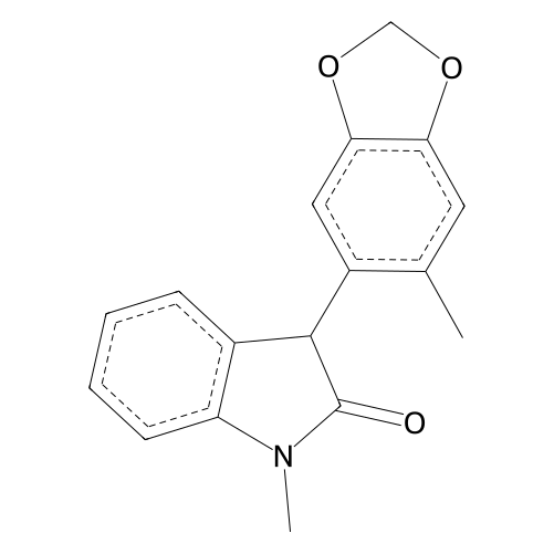 Cc1cc2c(cc1C1C(=O)N(C)c3ccccc31)OCO2